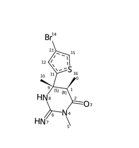 C[C@H]1C(=O)N(C)C(=N)N[C@]1(C)c1cc(Br)cs1